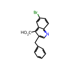 O=C(O)c1c(Cc2ccccc2)cnc2ccc(Br)cc12